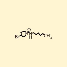 CCCCCCNC(=O)N1CCC(Br)CC1